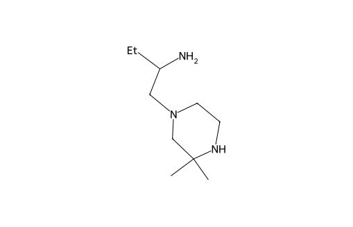 CCC(N)CN1CCNC(C)(C)C1